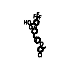 Cc1cc(Cl)ccc1OC1CCN(CC2CCN(c3ccc(C(F)(F)F)cc3C(=O)O)CC2)CC1